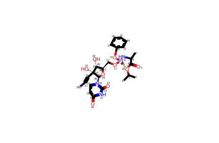 CC(C)OC(=O)C(C)NP(=S)(OC[C@H]1O[C@@H](n2ccc(=O)[nH]c2=O)[C@@](O)(C#CI)[C@@H]1O)Oc1ccccc1